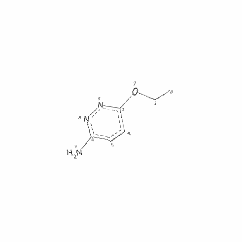 CCOc1ccc(N)nn1